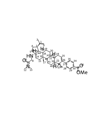 C=C(C)[C@@H]1CC[C@]2(NCC(=O)N(C)C)CC[C@]3(C)[C@H](CC[C@@H]4[C@@]5(C)CC=C(c6ccc(C(=O)OC)cc6)C(C)(C)[C@@H]5CC[C@]43C)[C@@H]12